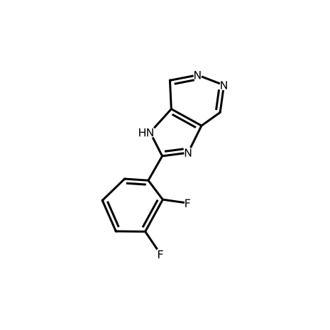 Fc1cccc(-c2nc3cnncc3[nH]2)c1F